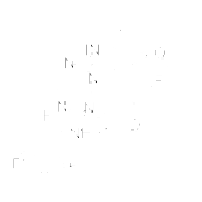 CC(F)Oc1ccc(Nc2ncc3nc(Nc4c(F)cc(F)cc4F)n(C4CCOCC4)c3n2)cc1